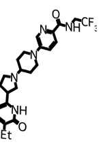 CCc1ccc(C2CCN(C3CCN(c4ccc(C(=O)NCC(F)(F)F)nc4)CC3)C2)[nH]c1=O